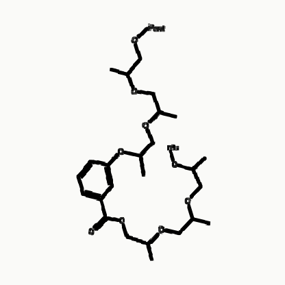 CCCCOC(C)COC(C)COC(C)COC(=O)c1cccc(OC(C)COC(C)COC(C)COC(C)CCC)c1